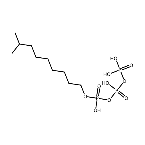 CC(C)CCCCCCCOP(=O)(O)OP(=O)(O)OP(=O)(O)O